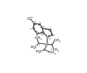 CC(C)[Si](C(C)C)(C(C)C)n1ccc2cc(Cl)ccc21